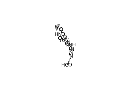 Cc1ccc(NC(=O)c2cccc(C(F)(F)F)c2)cc1N1Cc2cnc(Nc3ccc(N4CCN(CCCCC(=O)O)CC4)nc3)nc2N(C)C1=O